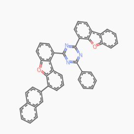 c1ccc(-c2nc(-c3cccc4c3oc3ccccc34)nc(-c3cccc4oc5c(-c6ccc7ccccc7c6)cccc5c34)n2)cc1